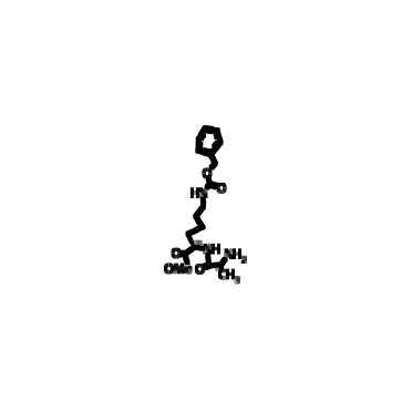 COC(=O)[C@@H](CCCCNC(=O)OCc1ccccc1)NC(=O)[C@H](C)N